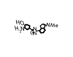 CN[C@H]1CCc2c(-c3noc(-c4ccc(O)c(N)c4)n3)cccc21